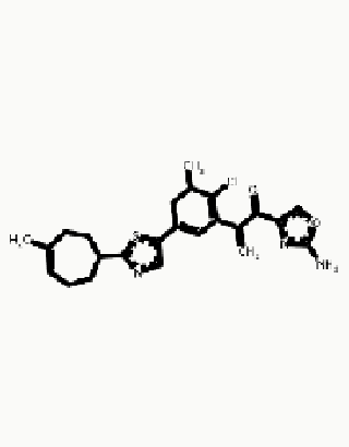 C=C(C(=O)c1coc(N)n1)C1=C(Cl)C(C)CC(c2cnc(C3CCC=C(C)CC3)s2)=C1